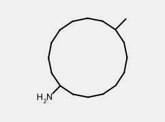 CC1CCCCCCCC(N)CCCCCCC1